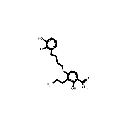 CCCc1c(OCCCCc2cccc(O)c2O)ccc(C(C)=O)c1O